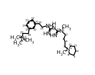 CN(CCCC[N+]1(C)CCCCC1)C(=N)NC(=N)NCCc1cccc(CC[N+](C)(C)C)c1